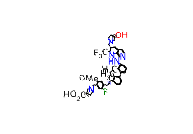 COc1cc(/C=C/c2cccc(-c3cccc(Nc4nccc5cc(CN6CC[C@@H](O)C6)c(C(F)(F)F)nc45)c3C)c2C)c(F)cc1CN1CC[C@@H](C(=O)O)C1